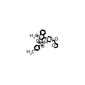 Cc1ccc(S(=O)(=O)Nc2c(N3CCN(C(=O)C4=CCCO4)CC3)c3ccccc3n(C)c2=O)cc1